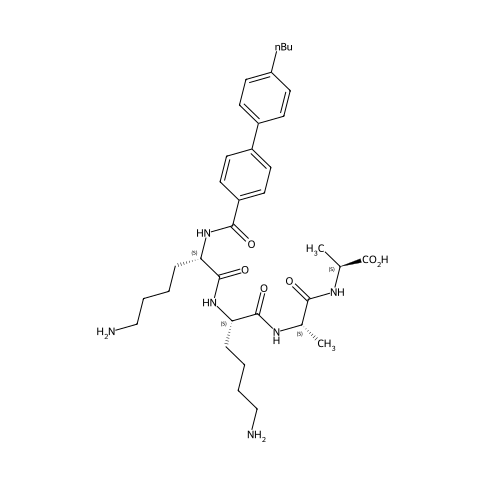 CCCCc1ccc(-c2ccc(C(=O)N[C@@H](CCCCN)C(=O)N[C@@H](CCCCN)C(=O)N[C@@H](C)C(=O)N[C@@H](C)C(=O)O)cc2)cc1